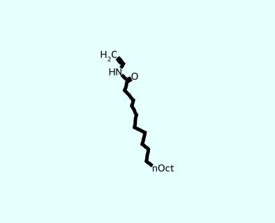 C=CNC(=O)CCCCCCCCCCCCCCCCC